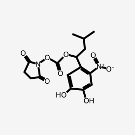 CC(C)CC(OC(=O)ON1C(=O)CCC1=O)c1cc(O)c(O)cc1[N+](=O)[O-]